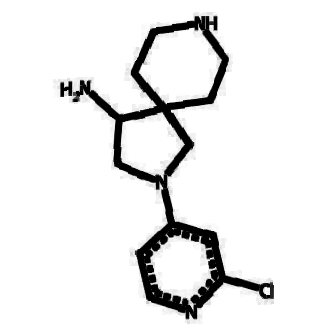 NC1CN(c2ccnc(Cl)c2)CC12CCNCC2